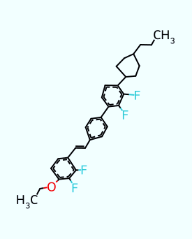 CCCC1CCC(c2ccc(-c3ccc(/C=C/c4ccc(OCC)c(F)c4F)cc3)c(F)c2F)CC1